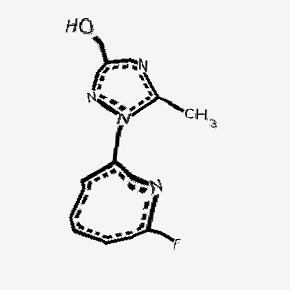 Cc1nc(O)nn1-c1cccc(F)n1